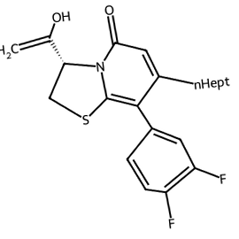 C=C(O)[C@H]1CSc2c(-c3ccc(F)c(F)c3)c(CCCCCCC)cc(=O)n21